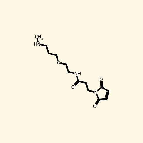 CNCCCOCCNC(=O)CCN1C(=O)C=CC1=O